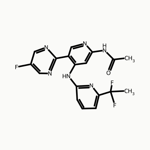 CC(=O)Nc1cc(Nc2cccc(C(C)(F)F)n2)c(-c2ncc(F)cn2)cn1